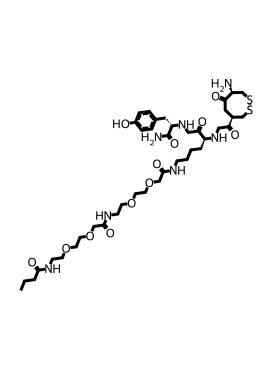 CCCC(=O)NCCOCCOCC(=O)NCCOCCOCC(=O)NCCCC[C@H](NCC(=O)[C@@H]1CSSC[C@H](N)C(=O)C1)C(=O)CN[C@@H](Cc1ccc(O)cc1)C(N)=O